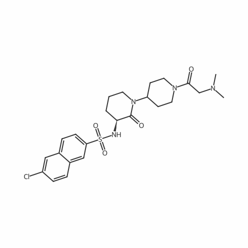 CN(C)CC(=O)N1CCC(N2CCC[C@H](NS(=O)(=O)c3ccc4cc(Cl)ccc4c3)C2=O)CC1